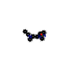 c1ccc(-c2ccc(-n3c4ccccc4c4cc(-c5ccc6c(c5)c5ccccc5n6-c5ccccc5-c5nc6ccccc6s5)ccc43)cc2)cc1